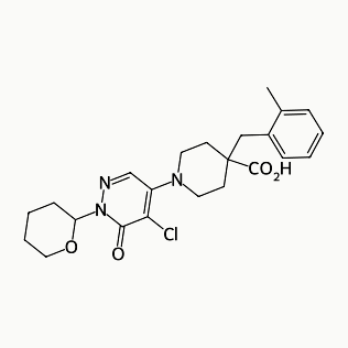 Cc1ccccc1CC1(C(=O)O)CCN(c2cnn(C3CCCCO3)c(=O)c2Cl)CC1